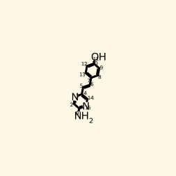 Nc1cnc(/C=C/c2ccc(O)cc2)cn1